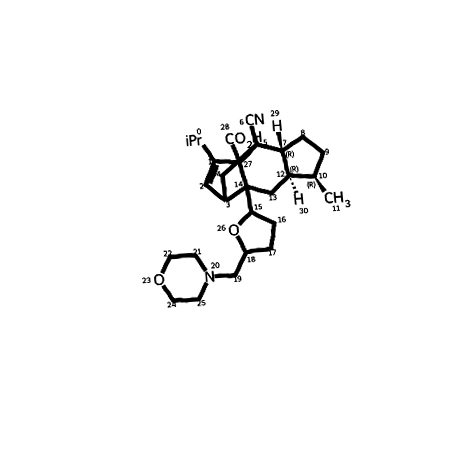 CC(C)C1=CC2CC3(C#N)[C@@H]4CC[C@@H](C)[C@H]4CC2(C2CCC(CN4CCOCC4)O2)C13C(=O)O